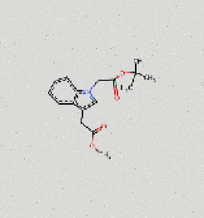 COC(=O)Cc1cn(CC(=O)OC(C)(C)C)c2ccccc12